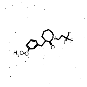 COc1cccc(CC2CCCCN(CCC(F)(F)F)C2=O)c1